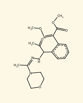 CON=C(C(=O)OC)c1ccccc1C(NN=C(C)N1CCOCC1)C(C)=O